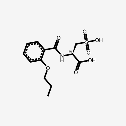 CCCOc1ccccc1C(=O)N[C@@H](CS(=O)(=O)O)C(=O)O